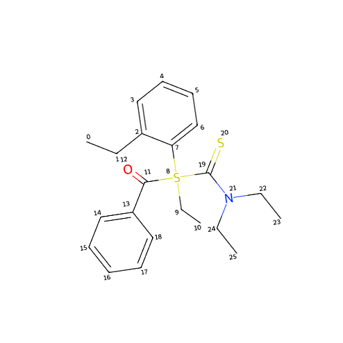 CCc1ccccc1S(CC)(C(=O)c1ccccc1)C(=S)N(CC)CC